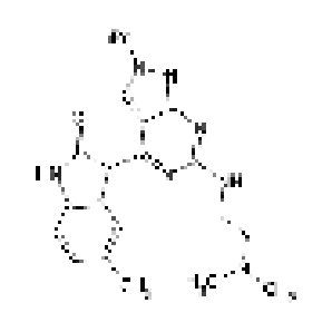 CCCn1cc2c(C3C(=O)Nc4ccc(C)cc43)nc(NCCN(C)C)nc2n1